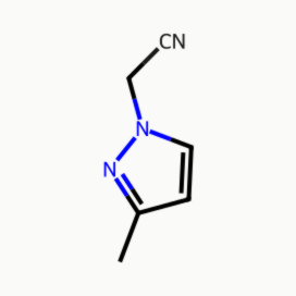 Cc1ccn(CC#N)n1